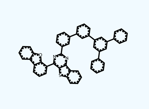 c1ccc(-c2cc(-c3ccccc3)cc(-c3cccc(-c4cccc(-c5nc(-c6cccc7c6oc6ccccc67)c6sc7ccccc7c6n5)c4)c3)c2)cc1